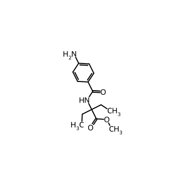 CCC(CC)(NC(=O)c1ccc(N)cc1)C(=O)OC